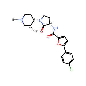 CCC[C@@H]1CN(C(C)C)CC[C@@H]1N1CC[C@H](NC(=O)c2ccc(-c3ccc(Cl)cc3)o2)C1=O